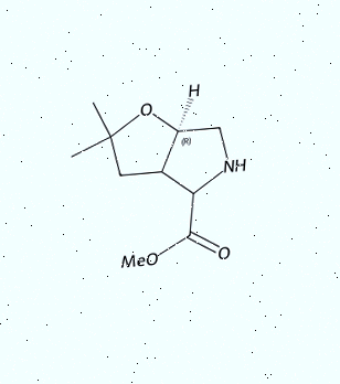 COC(=O)C1NC[C@@H]2OC(C)(C)CC12